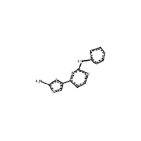 Nc1ncc(-c2ccnc(Nc3ccccc3)n2)s1